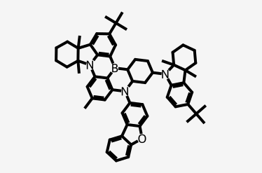 Cc1cc2c3c(c1)N1c4c(cc(C(C)(C)C)cc4C4(C)CCCCC14C)B3C1CCC(N3c4ccc(C(C)(C)C)cc4C4(C)CCCCC34C)CC1N2c1ccc2oc3ccccc3c2c1